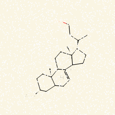 CC(=O)O[C@H]1CC[C@@]2(C)C(CC=C3[C@@H]4CC[C@H](C(C)CCO)[C@@]4(C)CC[C@@H]32)C1